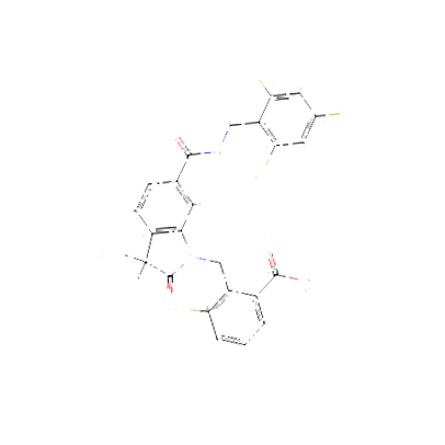 CC1(C)C(=O)N(Cc2c(F)cccc2C(=O)O)c2cc(C(=O)NCc3c(F)cc(F)cc3F)ccc21